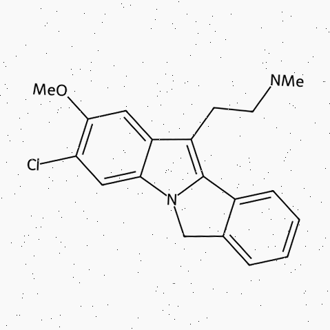 CNCCc1c2n(c3cc(Cl)c(OC)cc13)Cc1ccccc1-2